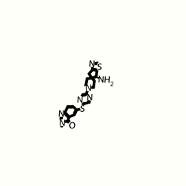 Cn1cnc2ccc(Sc3cnc(N4CCC5(CC4)Cc4ncsc4[C@H]5N)cn3)cc2c1=O